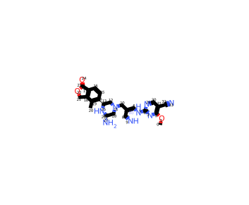 COc1nc(N/C=C(\C=N)CN2C[C@@H](c3ccc4c(c3C)COC4=O)N[C@@H](N)C2)ncc1C#N